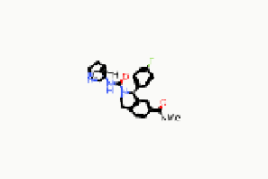 CNC(=O)c1ccc2c(c1)[C@H](c1ccc(F)cc1)N(C(=O)N[C@@H]1CN3CCC1CC3)CC2